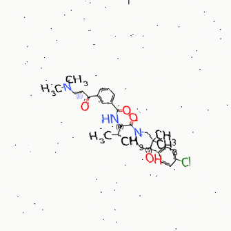 CC(C)[C@@H](NC(=O)c1cccc(C(=O)/C=C/N(C)C)c1)C(=O)N1CC[C@](O)(c2ccc(Cl)cc2)C(C)(C)C1